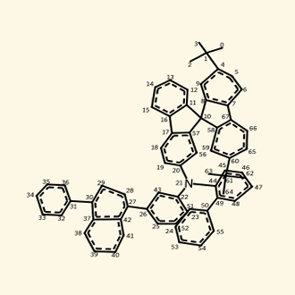 CC(C)(C)c1ccc2c(c1)C1(c3ccccc3-c3ccc(N(c4cccc(-c5ccc(-c6ccccc6)c6ccccc56)c4)c4ccccc4-c4ccccc4)cc31)c1cc(C(C)(C)C)ccc1-2